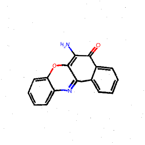 Nc1c2oc3ccccc3nc-2c2ccccc2c1=O